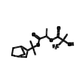 CC(OC(=O)C(C)(O)C(F)(F)F)C(=O)OC(C)(C)C1CC2CCC1C2